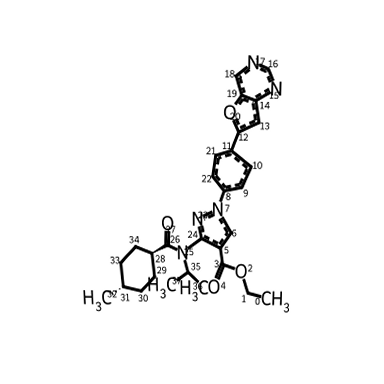 CCOC(=O)c1cn(-c2ccc(-c3cc4ncncc4o3)cc2)nc1N(C(=O)[C@H]1CC[C@H](C)CC1)C(C)C